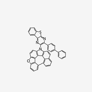 c1ccc(-c2ccc(-c3nc4sc5ccccc5c4nc3-n3c4ccc5cccc6c5c4c4c5c(ccc43)oc3cccc-6c35)cc2)cc1